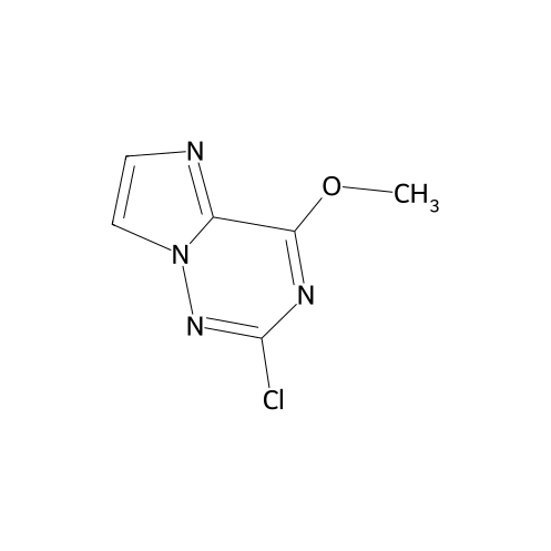 COc1nc(Cl)nn2ccnc12